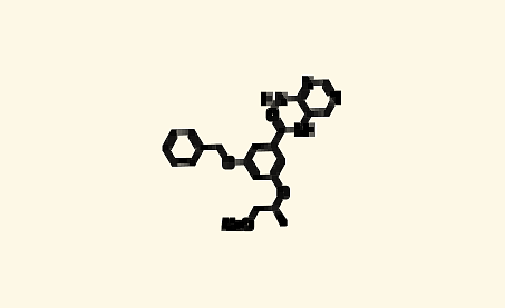 COC[C@H](C)Oc1cc(OCc2ccccc2)cc(C(=O)Nc2cncnc2N)c1